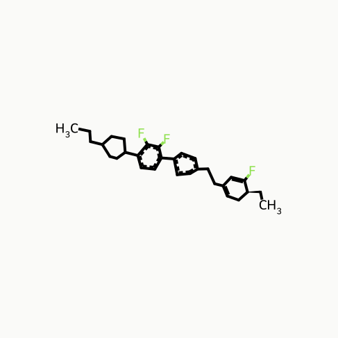 CCCC1CCC(c2ccc(-c3ccc(CCC4=CC[C@H](CC)C(F)=C4)cc3)c(F)c2F)CC1